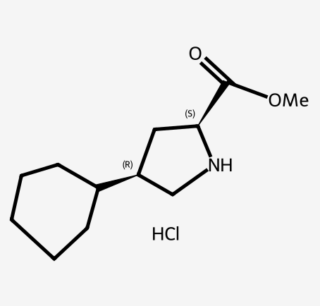 COC(=O)[C@@H]1C[C@H](C2CCCCC2)CN1.Cl